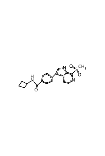 CS(=O)(=O)c1nccn2c(-c3ccc(C(=O)NC4CCC4)cc3)cnc12